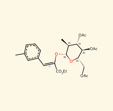 CCOC(=O)/C(=C/c1cccc(C)c1)O[C@H]1O[C@@H](COC(C)=O)[C@H](OC(C)=O)[C@@H](OC(C)=O)[C@@H]1C